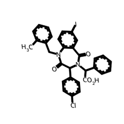 Cc1ccccc1CN1C(=O)C(c2ccc(Cl)cc2)N(C(C(=O)O)c2ccccc2)C(=O)c2cc(I)ccc21